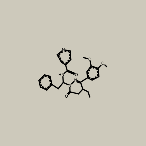 CCC1CC(=O)N(C(Cc2ccccc2)NC(=O)c2ccncc2)N=C1c1ccc(OC)c(OC)c1